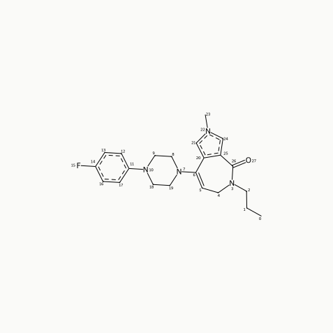 CCCN1CC=C(N2CCN(c3ccc(F)cc3)CC2)c2cn(C)cc2C1=O